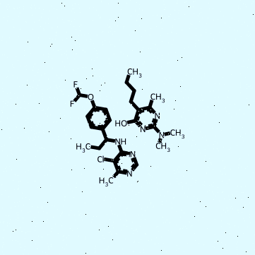 CCC(Nc1ncnc(C)c1Cl)c1ccc(OC(F)F)cc1.CCCCc1c(C)nc(N(C)C)nc1O